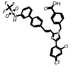 O=C(O)c1ccc(Cn2cc(-c3ccc(Cl)cc3Cl)nc2C=Cc2ccc(-c3cccc(NS(=O)(=O)C(F)(F)F)c3)cc2)cc1